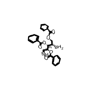 B[C@@H](COC(=O)c1ccccc1)[C@@H](OC(=O)c1ccccc1)[C@H](C=N)OC(=O)c1ccccc1